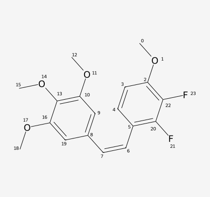 COc1ccc(/C=C\c2cc(OC)c(OC)c(OC)c2)c(F)c1F